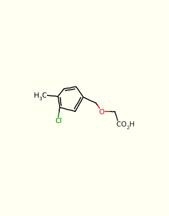 Cc1ccc(COCC(=O)O)cc1Cl